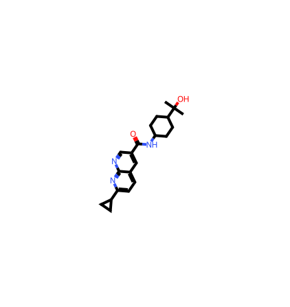 CC(C)(O)C1CCC(NC(=O)c2cnc3nc(C4CC4)ccc3c2)CC1